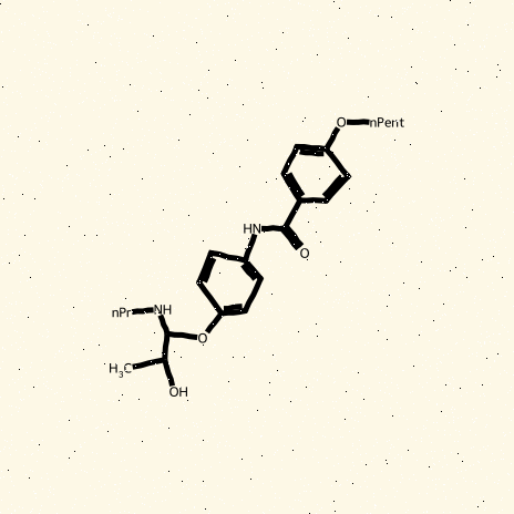 CCCCCOc1ccc(C(=O)Nc2ccc(OC(NCCC)C(C)O)cc2)cc1